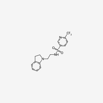 O=S(=O)(NCCN1CCc2ccccc21)c1ccc(C(F)(F)F)nc1